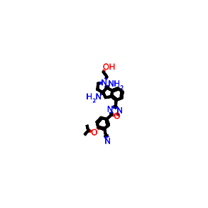 CC(C)Oc1ccc(-c2nc(-c3cccc4c3C[C@]3(N)CCN(CCO)[C@]43N)no2)cc1C#N